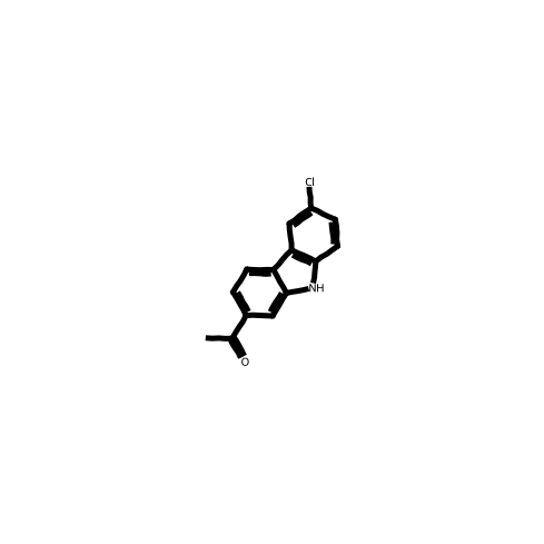 CC(=O)c1ccc2c(c1)[nH]c1ccc(Cl)cc12